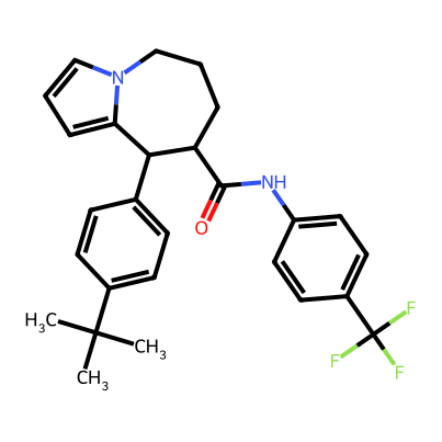 CC(C)(C)c1ccc(C2c3cccn3CCCC2C(=O)Nc2ccc(C(F)(F)F)cc2)cc1